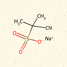 CC(C)(C#N)S(=O)(=O)[O-].[Na+]